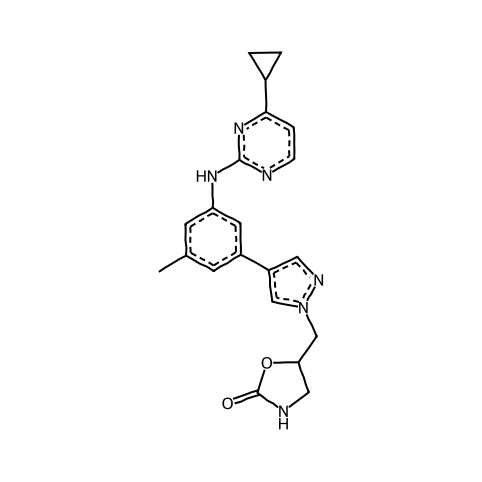 Cc1cc(Nc2nccc(C3CC3)n2)cc(-c2cnn(CC3CNC(=O)O3)c2)c1